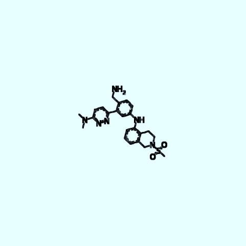 CN(C)c1ccc(-c2cc(Nc3cccc4c3CCN(S(C)(=O)=O)C4)ccc2CN)nn1